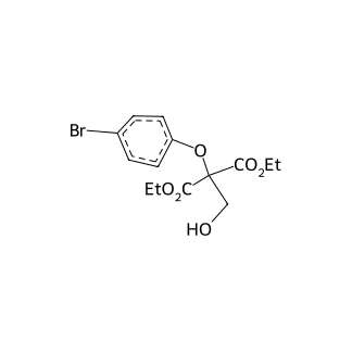 CCOC(=O)C(CO)(Oc1ccc(Br)cc1)C(=O)OCC